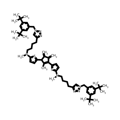 C=C1C(=C)C(c2ccc(N(C)CCCCc3cn(Cc4cc(C(C)(C)C)cc(C(C)(C)C)c4)nn3)s2)C(C)=C1c1ccc(N(C)CCCCc2cn(Cc3cc(C(C)(C)C)cc(C(C)(C)C)c3)nn2)s1